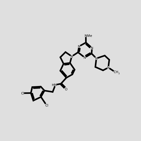 CNc1nc(N2CCN(C)CC2)nc(N2CCc3cc(C(=O)NCc4ccc(Cl)cc4Cl)ccc32)n1